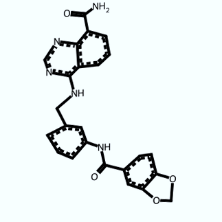 NC(=O)c1cccc2c(NCc3cccc(NC(=O)c4ccc5c(c4)OCO5)c3)ncnc12